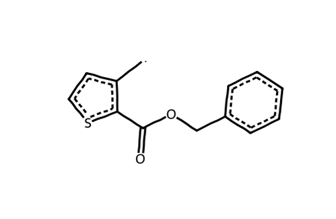 [CH2]c1ccsc1C(=O)OCc1ccccc1